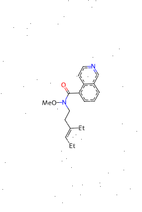 CC/C=C(\CC)CCN(OC)C(=O)c1cccc2cnccc12